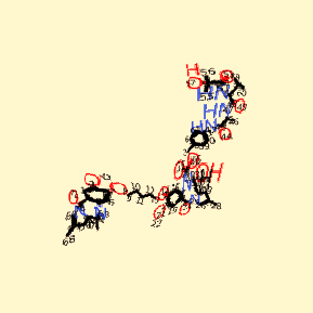 COc1cc2c(cc1OCCCCCOc1cc3c(cc1OC)C(=O)N1C=C(C)C[C@H]1[C@H](O)N3C(=O)OCc1ccc(NC(=O)[C@H](C)NC(=O)[C@@H](NC(=O)C(C)(C)O)C(C)C)cc1)N=C[C@@H]1CC(C)=CN1C2=O